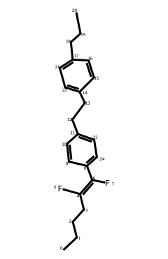 CCCCC(F)=C(F)c1ccc(CCc2ccc(CCC)cc2)cc1